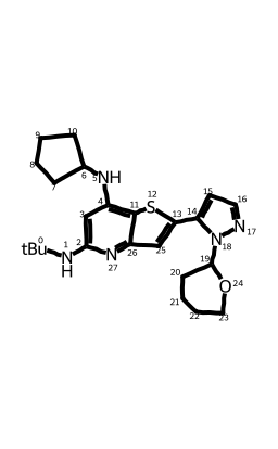 CC(C)(C)Nc1cc(NC2CCCC2)c2sc(-c3ccnn3C3CCCCO3)cc2n1